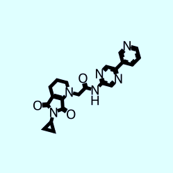 O=C(CN1CCCC2=C1C(=O)N(C1CC1)C2=O)Nc1cnc(-c2cccnc2)cn1